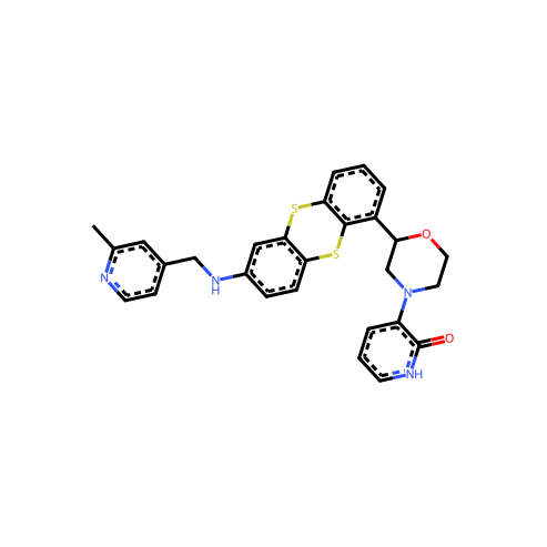 Cc1cc(CNc2ccc3c(c2)Sc2cccc(C4CN(c5ccc[nH]c5=O)CCO4)c2S3)ccn1